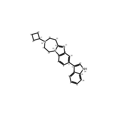 c1ccc2c(-c3ccc4c(c3)nc3n4CCN(C4CCC4)CC3)c[nH]c2c1